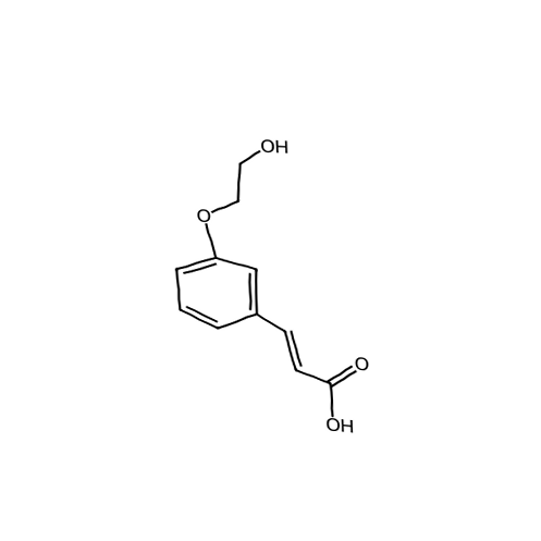 O=C(O)C=Cc1cccc(OCCO)c1